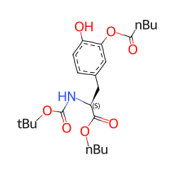 CCCCOC(=O)[C@H](Cc1ccc(O)c(OC(=O)CCCC)c1)NC(=O)OC(C)(C)C